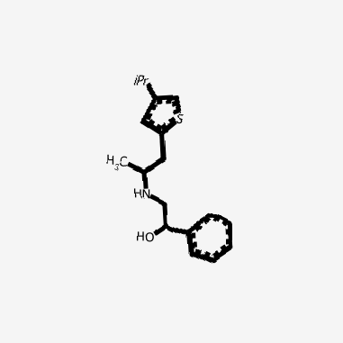 CC(Cc1cc(C(C)C)cs1)NCC(O)c1ccccc1